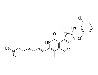 CCN(CC)CCSCC=Cc1[nH]c(=O)c2c(ccc3nc(Nc4c(Cl)cccc4Cl)n(C)c32)c1C